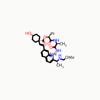 CNNC(=O)[C@H](C)NC(=O)[C@@H](OC(=O)[C@]1(/C=C/c2ccc3ccc([C@@H](C)NCOC)nc3c2)CC[C@@H](O)CC1)C(C)C